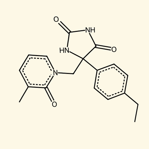 CCc1ccc(C2(Cn3cccc(C)c3=O)NC(=O)NC2=O)cc1